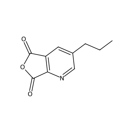 CCCc1cnc2c(c1)C(=O)OC2=O